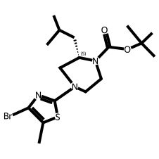 Cc1sc(N2CCN(C(=O)OC(C)(C)C)[C@@H](CC(C)C)C2)nc1Br